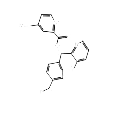 COc1ccnc(C(=O)N[C@@H](c2ccc(CF)cc2)c2ncccc2C(F)(F)F)c1